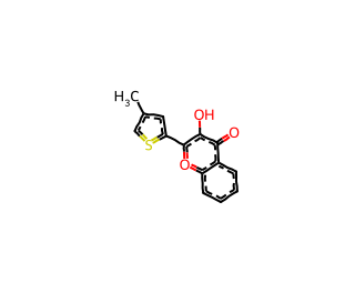 Cc1csc(-c2oc3ccccc3c(=O)c2O)c1